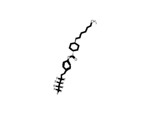 CCCCCCC[C@H]1CC[C@H](C(=O)Oc2ccc(CCC(F)(F)C(F)(F)C(F)(F)C(F)(F)F)cc2)CC1